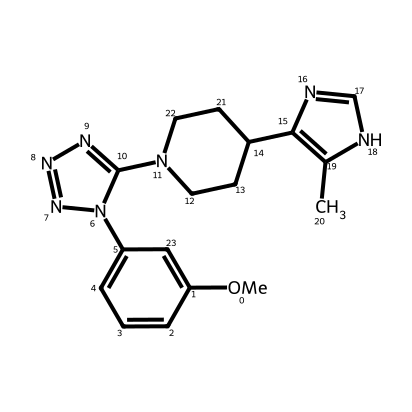 COc1cccc(-n2nnnc2N2CCC(c3nc[nH]c3C)CC2)c1